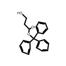 OCCC(O)OC(c1ccccc1)(c1ccccc1)c1ccccc1